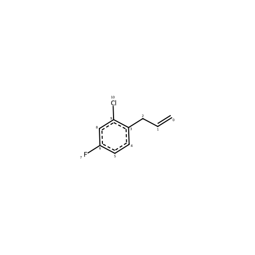 C=CCc1ccc(F)cc1Cl